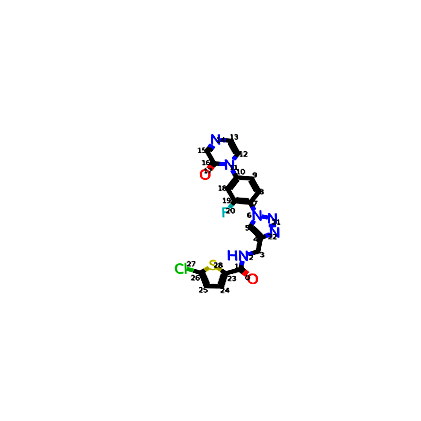 O=C(NCc1cn(-c2ccc(-n3ccncc3=O)cc2F)nn1)c1ccc(Cl)s1